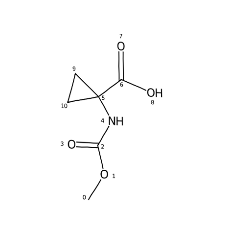 COC(=O)NC1(C(=O)O)CC1